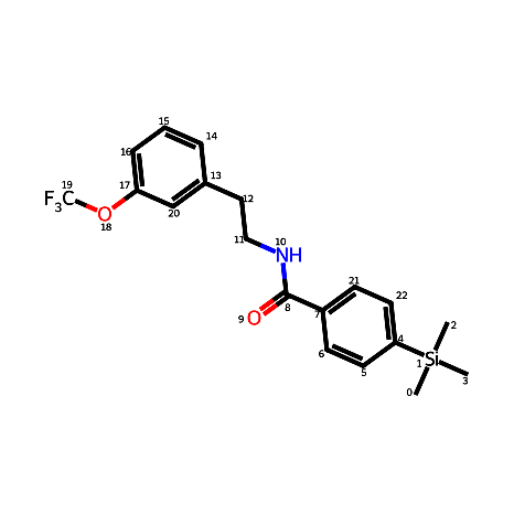 C[Si](C)(C)c1ccc(C(=O)NCCc2cccc(OC(F)(F)F)c2)cc1